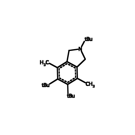 Cc1c2c(c(C)c(C(C)(C)C)c1C(C)(C)C)CN(C(C)(C)C)C2